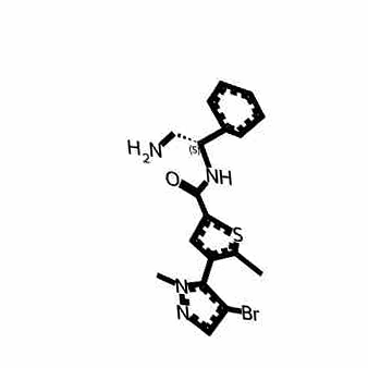 Cc1sc(C(=O)N[C@H](CN)c2ccccc2)cc1-c1c(Br)cnn1C